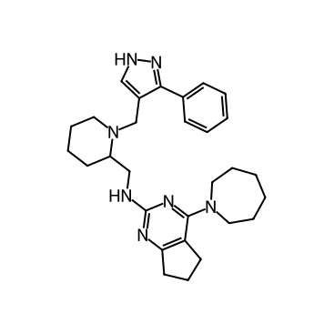 c1ccc(-c2n[nH]cc2CN2CCCCC2CNc2nc3c(c(N4CCCCCC4)n2)CCC3)cc1